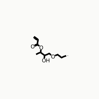 [CH2]CCOCC(O)C(C)OC(=O)C=C